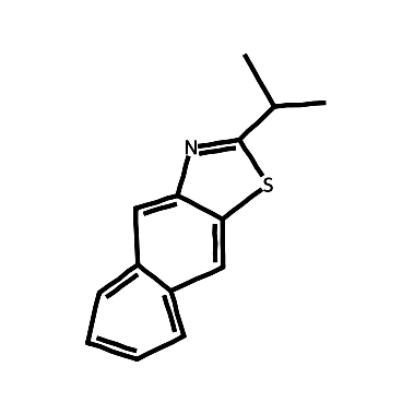 CC(C)c1nc2cc3ccccc3cc2s1